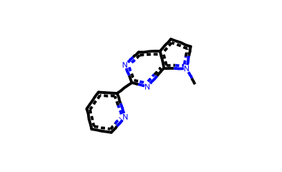 Cn1ccc2cnc(-c3ccccn3)nc21